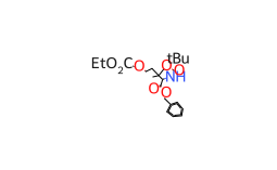 CCOC(=O)COCCC(C)(C)C(NC(=O)OC(C)(C)C)C(=O)OCc1ccccc1